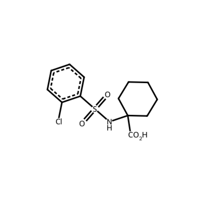 O=C(O)C1(NS(=O)(=O)c2ccccc2Cl)CCCCC1